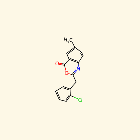 Cc1ccc2nc(Cc3ccccc3Cl)oc(=O)c2c1